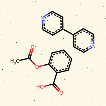 CC(=O)Oc1ccccc1C(=O)O.c1cc(-c2ccncc2)ccn1